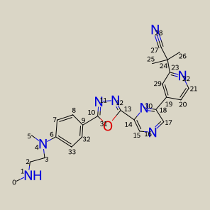 CNCCN(C)c1ccc(-c2nnc(-c3cncc(-c4ccnc(C(C)(C)C#N)c4)n3)o2)cc1